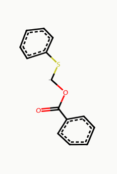 O=C(O[CH]Sc1ccccc1)c1ccccc1